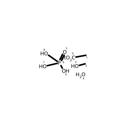 CCOC(C)=O.CO.O.O=P(O)(O)O